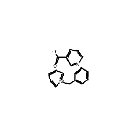 O=C([O-])c1cccnc1.c1ccc(C[n+]2ccccc2)cc1